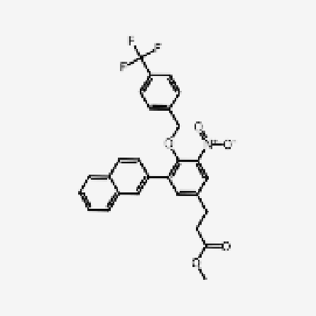 COC(=O)CCc1cc(-c2ccc3ccccc3c2)c(OCc2ccc(C(F)(F)F)cc2)c([N+](=O)[O-])c1